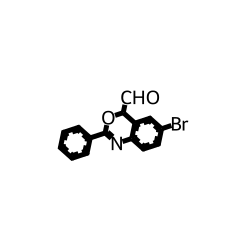 O=CC1OC(c2ccccc2)=Nc2ccc(Br)cc21